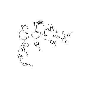 C[CH2][Fe][CH2]C.C[CH2][Fe][CH2]C.Nc1ccc(N)cc1.Nc1ccc(N)cc1.O=S(=O)([O-])[O-].[N+].[N+]